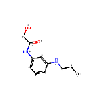 N#CCCNc1cccc(NC(=O)CO)c1